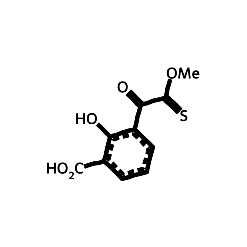 COC(=S)C(=O)c1cccc(C(=O)O)c1O